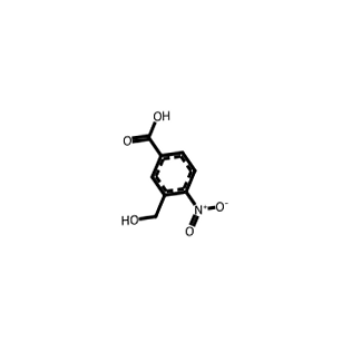 O=C(O)c1ccc([N+](=O)[O-])c(CO)c1